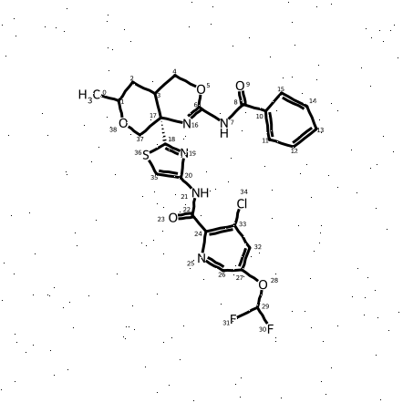 CC1CC2COC(NC(=O)c3ccccc3)=N[C@@]2(c2nc(NC(=O)c3ncc(OC(F)F)cc3Cl)cs2)CO1